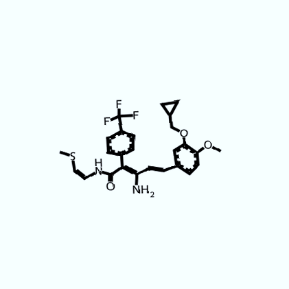 COc1ccc(/C=C/C(N)=C(/C(=O)N/C=C\SC)c2ccc(C(F)(F)F)cc2)cc1OCC1CC1